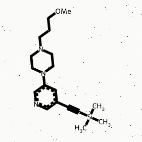 COCCCN1CCN(c2cncc(C#C[Si](C)(C)C)c2)CC1